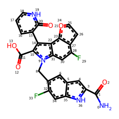 NC(=O)c1cc2cc(Cn3c(C(=O)O)c(-c4ccc[nH]c4=O)c4c5occc5c(F)cc43)c(F)cc2[nH]1